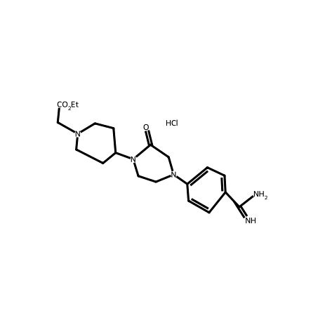 CCOC(=O)CN1CCC(N2CCN(c3ccc(C(=N)N)cc3)CC2=O)CC1.Cl